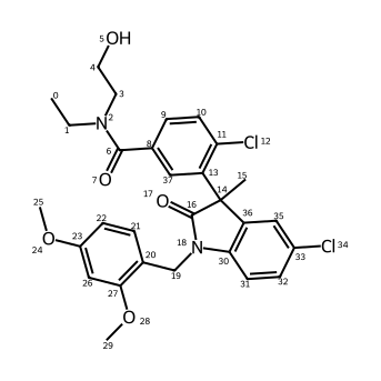 CCN(CCO)C(=O)c1ccc(Cl)c(C2(C)C(=O)N(Cc3ccc(OC)cc3OC)c3ccc(Cl)cc32)c1